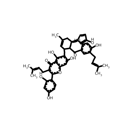 CC(C)=CCc1cc(C(=O)C2/C(=C3/C=CC(O)=C3)CC(C)=CC2c2c(O)cc3oc(-c4ccc(O)cc4O)c(CC=C(C)C)c(=O)c3c2O)c(O)cc1O